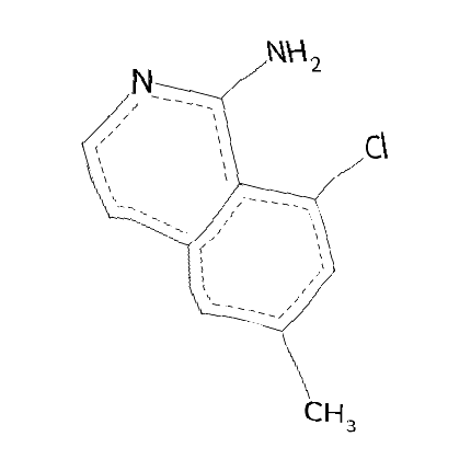 Cc1cc(Cl)c2c(N)nccc2c1